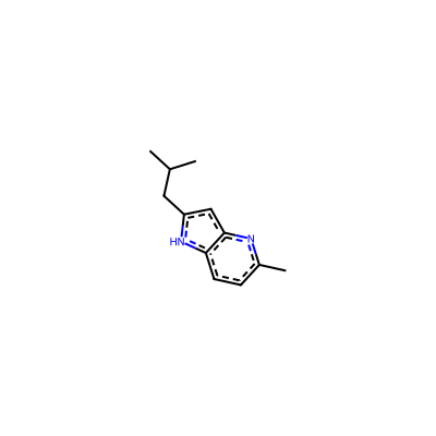 Cc1ccc2[nH]c(CC(C)C)cc2n1